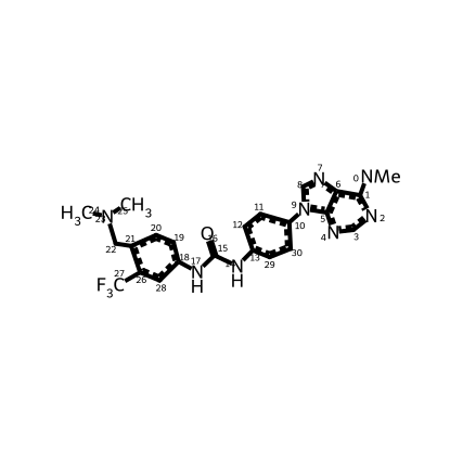 CNc1ncnc2c1ncn2-c1ccc(NC(=O)Nc2ccc(CN(C)C)c(C(F)(F)F)c2)cc1